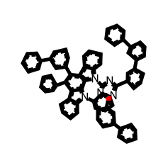 c1ccc(-c2cccc(-c3cccc(-c4nc(-c5cccc(-c6ccccc6)c5)nc(-n5c6ccccc6c6c(-c7cccc(-c8ccccc8)c7)c(-c7ccccc7)c7c8ccccc8n(-c8ccccc8)c7c65)n4)c3)c2)cc1